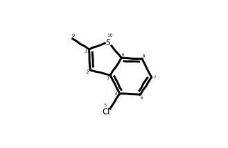 Cc1[c]c2c(Cl)cccc2s1